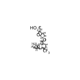 O=C(O)C[C@@H]1COc2cc(O[C@@H]3CCc4c3ccc(C(F)(F)F)c4CN3CC4CCC(C3)O4)ccc21